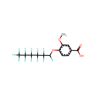 COc1cc(C(=O)O)ccc1OC(F)C(F)(F)C(F)(F)C(F)(F)C(F)(F)C(F)(F)F